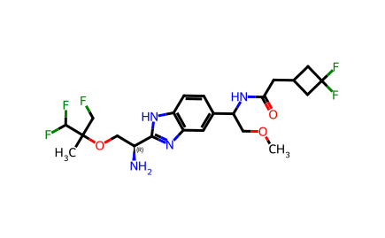 COCC(NC(=O)CC1CC(F)(F)C1)c1ccc2[nH]c([C@@H](N)COC(C)(CF)C(F)F)nc2c1